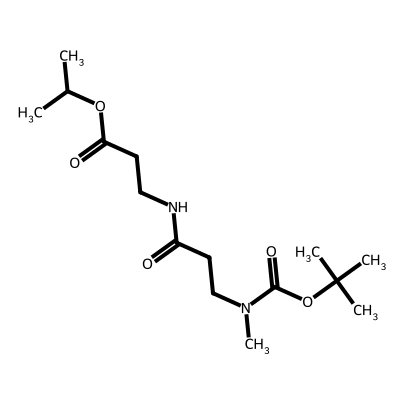 CC(C)OC(=O)CCNC(=O)CCN(C)C(=O)OC(C)(C)C